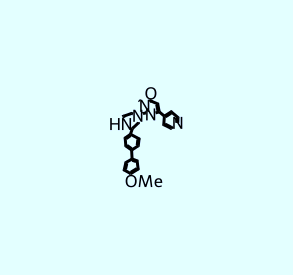 COc1ccc(-c2ccc(C3CN(c4nc(-c5ccncc5)cc(=O)n4C)CCN3)cc2)cc1